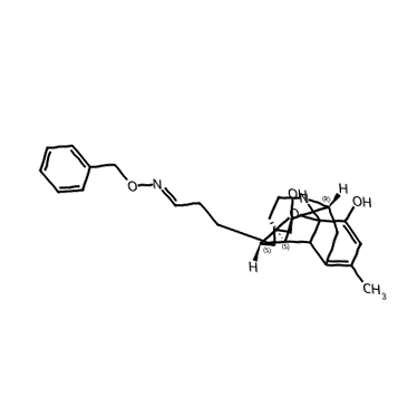 CC1=C2C[C@H]3N4CC[C@]56C2C4(O[C@H]5C(CCC=NOCc2ccccc2)CCC36O)C(O)=C1